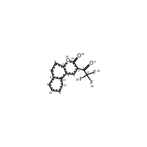 O=C(c1cc2c(ccc3ccccc32)oc1=O)C(F)(F)F